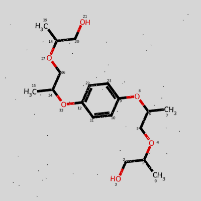 CC(CO)OCC(C)Oc1ccc(OC(C)COC(C)CO)cc1